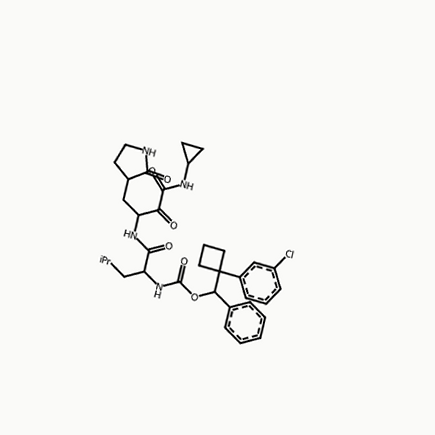 CC(C)CC(NC(=O)OC(c1ccccc1)C1(c2cccc(Cl)c2)CCC1)C(=O)NC(CC1CCNC1=O)C(=O)C(=O)NC1CC1